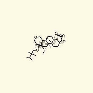 CO[C@@H]1C[C@@]23COC[C@@](C)([C@@H]2CC[C@H]2C3=CC[C@@]3(C)[C@H](C(=O)O)[C@@](C)([C@H](C)C(C)C)CC[C@]23C)[C@H]1OCC(C)(C)C(C)C